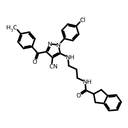 Cc1ccc(C(=O)c2nn(-c3ccc(Cl)cc3)c(NCCCNC(=O)C3Cc4ccccc4C3)c2C#N)cc1